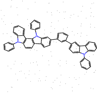 c1ccc(-n2c3ccccc3c3cc(-c4cccc(-c5ccc6c7ccc8c(c9ccccc9n8-c8ccccc8)c7n(-c7ccccc7)c6c5)c4)ccc32)cc1